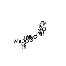 COc1cc(NC(=O)Nc2cccc(CNC(=O)OC(CN(CC(C)C)CC3CC3)c3ccccc3)c2)ccc1-c1cnco1